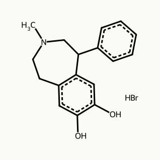 Br.CN1CCc2cc(O)c(O)cc2C(c2ccccc2)C1